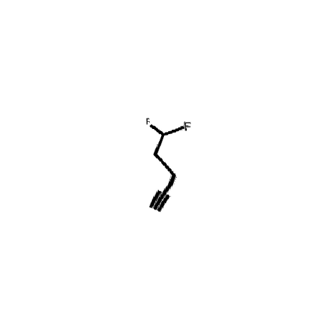 C#CCCC(F)F